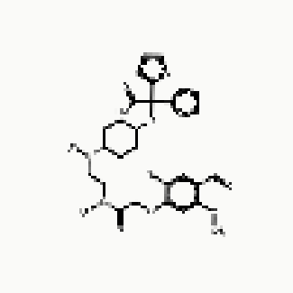 COc1cc(OCC(=O)N(C)CCN(C)[C@H]2CC[C@H](OC(C(=O)O)(c3cccs3)c3cccs3)CC2)c(Cl)cc1C=O